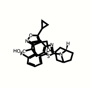 O=C(O)c1ccc2nc(N3C4CC[C@H]3C[C@H](OCc3c(-c5c(F)cccc5F)noc3C3CC3)C4)sc2c1